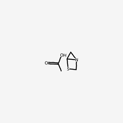 C1SC2CN12.CC(=O)O